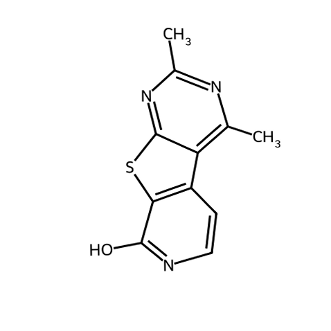 Cc1nc(C)c2c(n1)sc1c(O)nccc12